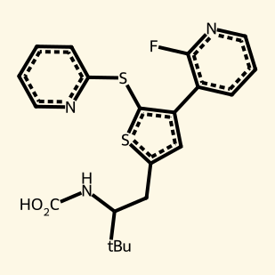 CC(C)(C)C(Cc1cc(-c2cccnc2F)c(Sc2ccccn2)s1)NC(=O)O